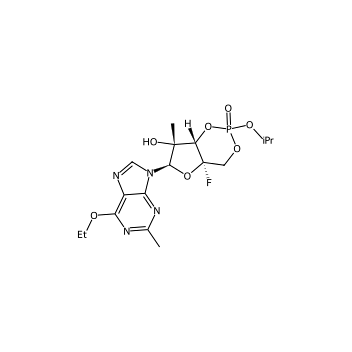 CCOc1nc(C)nc2c1ncn2[C@@H]1O[C@]2(F)COP(=O)(OC(C)C)O[C@H]2[C@@]1(C)O